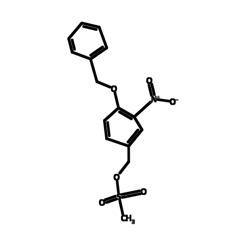 CS(=O)(=O)OCc1ccc(OCc2ccccc2)c([N+](=O)[O-])c1